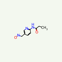 CCC(=O)Nc1ccc(CN=O)cn1